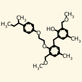 CCC(C)c1ccc(OCCOc2c(COC)cc(C)cc2Cc2cc(C)cc(COC)c2O)cc1